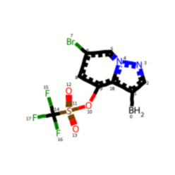 Bc1cnn2cc(Br)cc(OS(=O)(=O)C(F)(F)F)c12